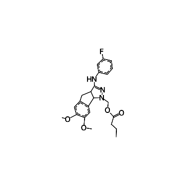 CCCC(=O)OCN1N=C(Nc2cccc(F)c2)C2Cc3cc(OC)c(OC)cc3C21